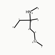 CCC(C)(CCOC)NC